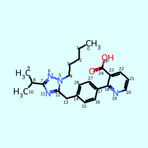 CCCCCn1nc(C(C)C)nc1Cc1ccc(-c2ncccc2C(=O)O)cc1